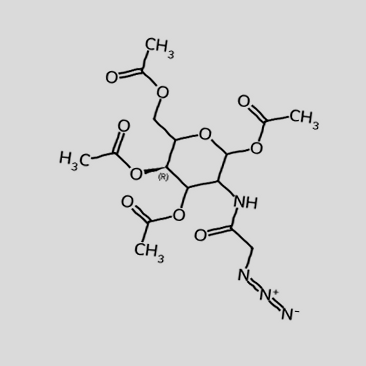 CC(=O)OCC1OC(OC(C)=O)C(NC(=O)CN=[N+]=[N-])C(OC(C)=O)[C@H]1OC(C)=O